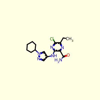 CCc1nc(C(N)=O)c(Nc2cnn(C3CCCCC3)c2)nc1Cl